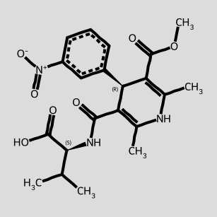 COC(=O)C1=C(C)NC(C)=C(C(=O)N[C@H](C(=O)O)C(C)C)[C@H]1c1cccc([N+](=O)[O-])c1